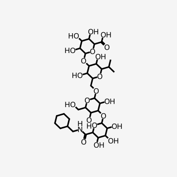 CC(C)C1OC(COC2OC(CO)C(O)C(OC3OC(C(=O)NCC4CCCCC4)C(O)C(O)C3O)C2O)C(O)C(OC2OC(C(=O)O)C(O)C(O)C2O)C1O